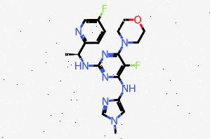 C[C@H](Nc1nc(Nc2cn(C)cn2)c(F)c(N2CCOCC2)n1)c1ccc(F)cn1